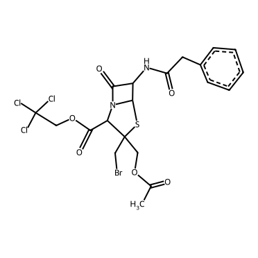 CC(=O)OCC1(CBr)SC2C(NC(=O)Cc3ccccc3)C(=O)N2C1C(=O)OCC(Cl)(Cl)Cl